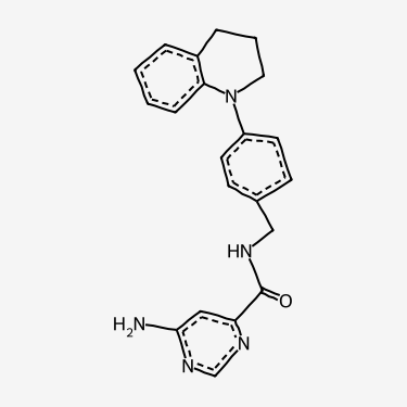 Nc1cc(C(=O)NCc2ccc(N3CCCc4ccccc43)cc2)ncn1